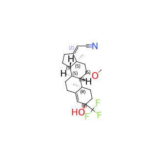 CO[C@H]1C[C@]2(C)/C(=C\C#N)CC[C@H]2[C@@H]2CCC3=C[C@@](O)(C(F)(F)F)CC[C@]3(C)[C@H]21